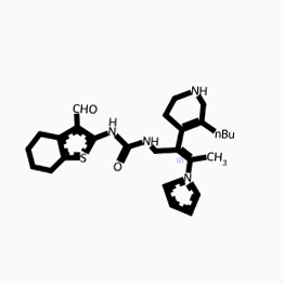 CCCCC1=C(/C(CNC(=O)Nc2sc3c(c2C=O)CCCC3)=C(\C)n2cccc2)CCNC1